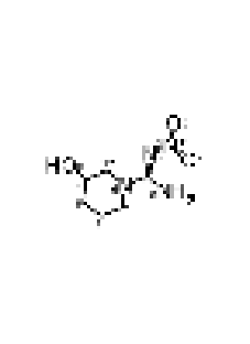 NC(=N[N+](=O)[O-])N1CCCC(O)C1